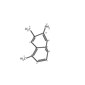 Cc1cc2c(C)cccc2cc1P